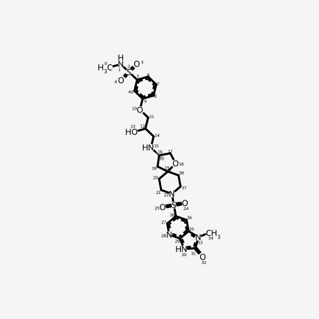 CNS(=O)(=O)c1cccc(OCC(O)CN[C@H]2COC3(CCN(S(=O)(=O)c4cnc5[nH]c(=O)n(C)c5c4)CC3)C2)c1